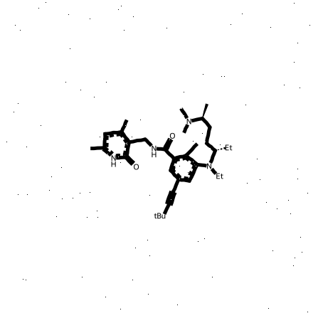 CC[C@@H](CC[C@H](C)N(C)C)N(CC)c1cc(C#CC(C)(C)C)cc(C(=O)NCc2c(C)cc(C)[nH]c2=O)c1C